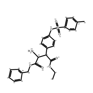 CCOC(=O)C(c1ccc(OS(=O)(=O)c2ccc(C)cc2)cc1)C(N)C(=O)OCc1ccccc1